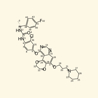 C[C@@H](NC(=O)Nc1ccc(Oc2ncnc3cc(OCCCN4CCCCC4)c4c(c23)OCCO4)cc1Cl)c1ccc(F)cc1